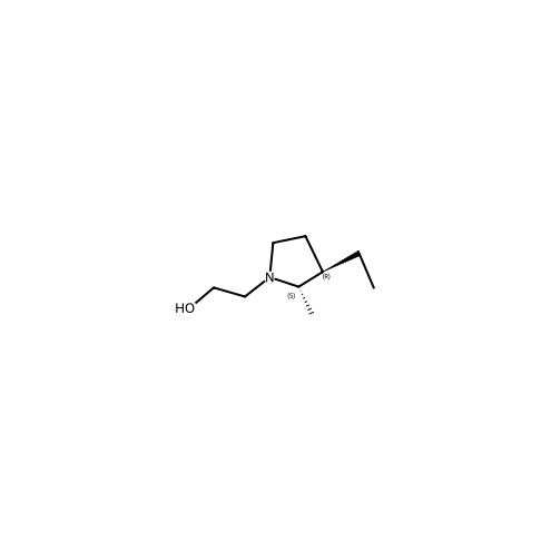 CC[C@@H]1CCN(CCO)[C@H]1C